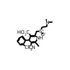 CC1=C(C#N)C(c2ccccc2C(F)(F)F)C(C(=O)O)=C(C[S+]([O-])CCN(C)C)N1